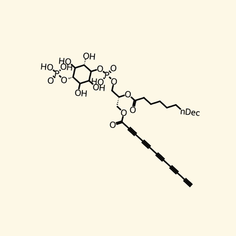 C#CC#CC#CC#CC#CC(=O)OC[C@H](COP(=O)(O)OC1C(O)C(O)[C@H](OP(=O)(O)O)C(O)[C@@H]1O)OC(=O)CCCCCCCCCCCCCCC